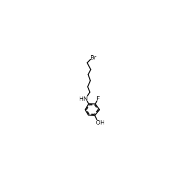 Oc1ccc(NCCCCCCBr)c(F)c1